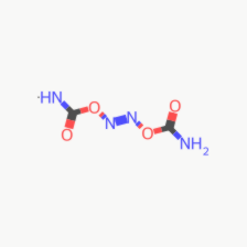 [NH]C(=O)ON=NOC(N)=O